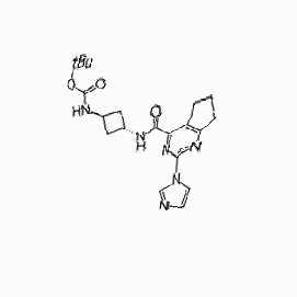 CC(C)(C)OC(=O)N[C@H]1C[C@H](NC(=O)c2nc(-n3ccnc3)nc3c2CCC3)C1